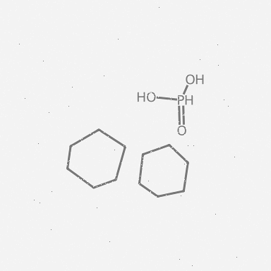 C1CCCCC1.C1CCCCC1.O=[PH](O)O